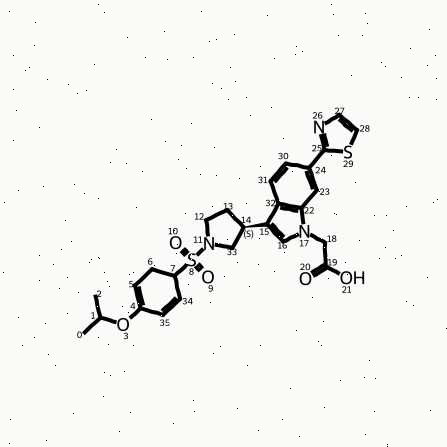 CC(C)OC1=CCC(S(=O)(=O)N2CC[C@@H](c3cn(CC(=O)O)c4cc(-c5nccs5)ccc34)C2)C=C1